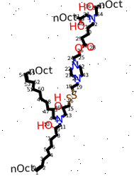 CCCCCCCC/C=C\CCCCCC[C@H](O)CN(CCCSSCCN1CCN(CCOC(=O)CCCCN(CC(O)CCCCCCCC)CC(O)CCCCCCCC)CC1)C[C@@H](O)CCCCCC/C=C\CCCCCCCC